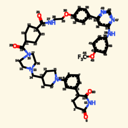 O=C1CCC(c2cccc(N3CCC(CN4CCN(C(=O)C5CCC(C(=O)NCCOc6ccc(-c7cc(Nc8ccc(OC(F)(F)F)cc8)ncn7)cc6)CC5)CC4)CC3)c2)C(=O)N1